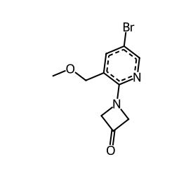 COCc1cc(Br)cnc1N1CC(=O)C1